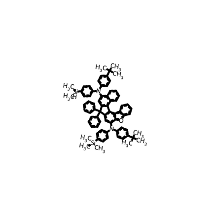 C[SiH](C)c1ccc(N(c2ccc(C(C)(C)C)cc2)c2cc3c(c4ccccc24)-c2c(cc(N(c4ccc(C(C)(C)C)cc4)c4ccc([Si](C)(C)C)cc4)c4oc5ccccc5c24)C3(c2ccccc2)c2ccccc2)cc1